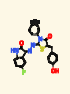 CCCCc1ccc(N2C(=O)C(=Cc3ccc(O)cc3)SC2=NN=C2C(=O)Nc3ccc(F)cc32)cc1